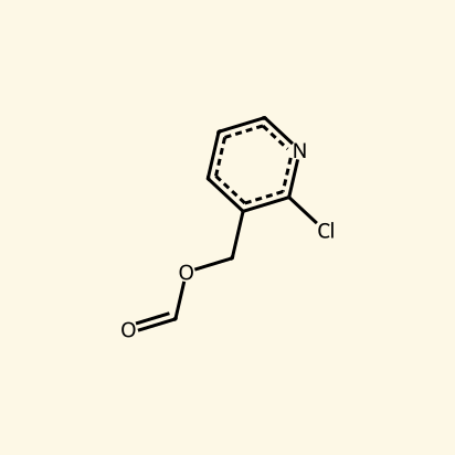 O=COCc1cccnc1Cl